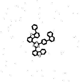 C1=CC2Oc3cccc(-c4nc(-c5ccc(-c6cccc7ccccc67)cc5)nc(-c5cccc6oc7c(-c8ccccc8)cccc7c56)n4)c3C2C=C1